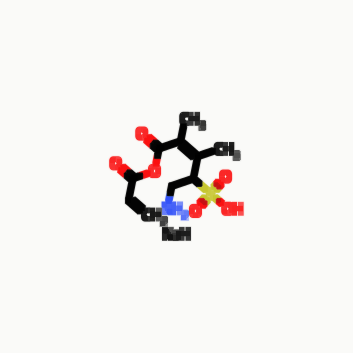 C=CC(=O)OC(=O)C(C)=C(C)C(CN)S(=O)(=O)O.[NaH]